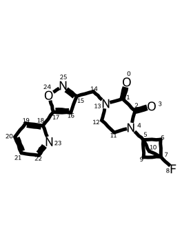 O=C1C(=O)N(C23CC(F)(C2)C3)CCN1Cc1cc(-c2ccccn2)on1